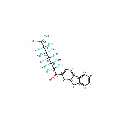 O=C(c1ccc2c(c1)Cc1ccccc1-2)C(F)(F)C(F)(F)C(F)(F)C(F)(F)C(F)(F)C(F)F